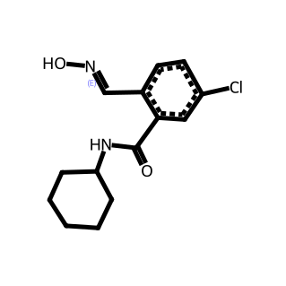 O=C(NC1CCCCC1)c1cc(Cl)ccc1/C=N/O